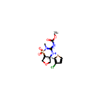 CN1/C(=N\C(=O)OC(C)(C)C)N[C@@]2(c3sccc3Cl)COCC2S1(=O)=O